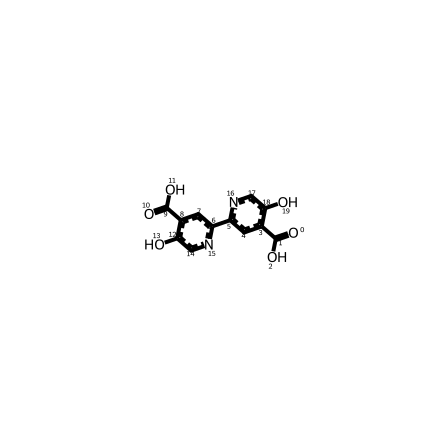 O=C(O)c1cc(-c2cc(C(=O)O)c(O)cn2)ncc1O